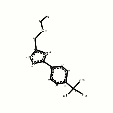 CCOCc1nnc(-c2ccc(C(F)(F)F)cc2)o1